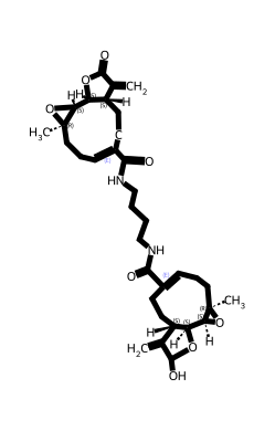 C=C1C(=O)O[C@H]2[C@H]1CC/C(C(=O)NCCCCNC(=O)/C1=C/CC[C@@]3(C)O[C@H]3[C@H]3OC(O)C(=C)[C@@H]3CC1)=C\CC[C@@]1(C)O[C@@H]21